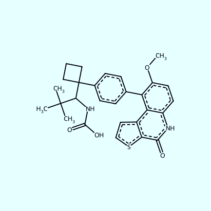 COc1ccc2[nH]c(=O)c3sccc3c2c1-c1ccc(C2(C(NC(=O)O)C(C)(C)C)CCC2)cc1